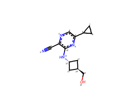 N#Cc1ncc(C2CC2)nc1N[C@H]1C[C@H](CO)C1